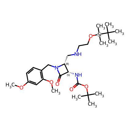 COc1ccc(CN2C(=O)[C@@H](NC(=O)OC(C)(C)C)[C@H]2CNCCO[Si](C)(C)C(C)(C)C)c(OC)c1